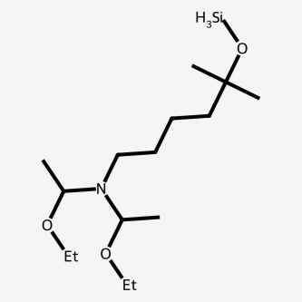 CCOC(C)N(CCCCC(C)(C)O[SiH3])C(C)OCC